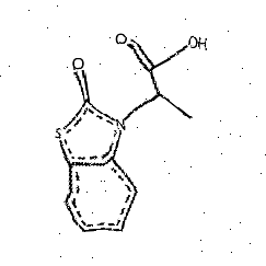 CC(C(=O)O)n1c(=O)sc2ccccc21